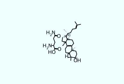 CC(C)=CCC[C@@H](C)[C@H]1CC[C@@]2(C)C3=C(CC[C@]12C)[C@@]1(C)CC[C@H](O)C(C)(C)[C@@H]1CC3.NC(=O)CCC(N)C(=O)O